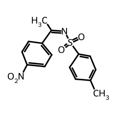 CC(=NS(=O)(=O)c1ccc(C)cc1)c1ccc([N+](=O)[O-])cc1